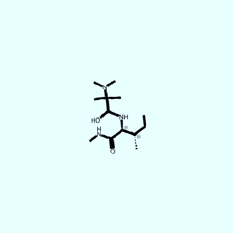 CC[C@H](C)[C@H](NC(O)C(C)(C)N(C)C)C(=O)NC